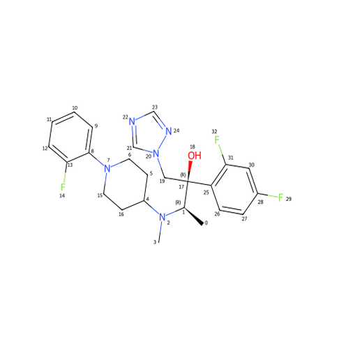 C[C@@H](N(C)C1CCN(c2ccccc2F)CC1)[C@](O)(Cn1cncn1)c1ccc(F)cc1F